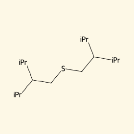 CC(C)C(CSCC(C(C)C)C(C)C)C(C)C